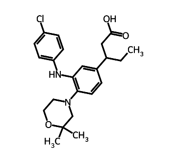 CCC(CC(=O)O)c1ccc(N2CCOC(C)(C)C2)c(Nc2ccc(Cl)cc2)c1